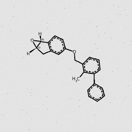 Cc1c(COc2ccc3c(c2)C[C@@H]2O[C@H]32)cccc1-c1ccccc1